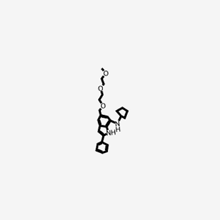 COCCOCCOCc1cc(NC2CCCC2)c2[nH]c(-c3ccccc3)cc2c1